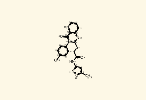 Cc1cc(NC(=O)CSc2nc3cccnc3c(=O)n2-c2ccc(Cl)cc2)no1